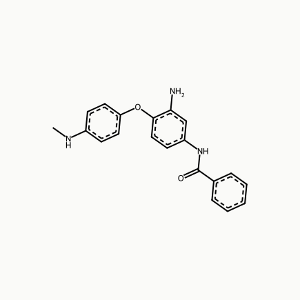 CNc1ccc(Oc2ccc(NC(=O)c3ccccc3)cc2N)cc1